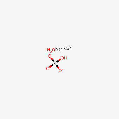 O.[Ca+2].[Na+].[O-][Si]([O-])([O-])O